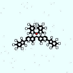 O=C1c2c(Cl)c(Cl)c(Cl)c(Cl)c2C(=O)C1c1ccc2c(N3C(=O)c4c(Cl)c(Cl)c(Cl)c(Cl)c4C3=O)c(Cc3cc(Cl)c4nc(C5C(=O)c6c(Cl)c(Cl)c(Cl)c(Cl)c6C5=O)ccc4c3N3C(=O)c4c(Cl)c(Cl)c(Cl)c(Cl)c4C3=O)cc(Cl)c2n1